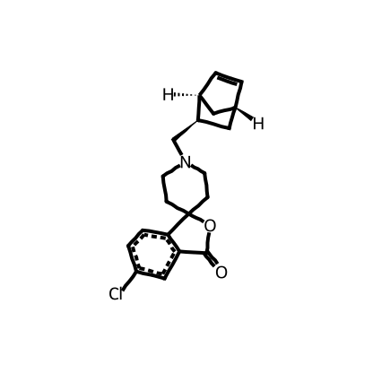 O=C1OC2(CCN(C[C@@H]3C[C@H]4C=C[C@H]3C4)CC2)c2ccc(Cl)cc21